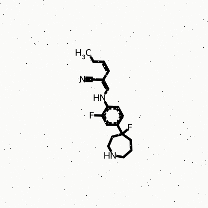 CC/C=C\C(C#N)=C\Nc1ccc(C2(F)CCCNCC2)cc1F